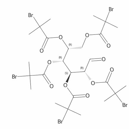 CC(C)(Br)C(=O)OC[C@@H](OC(=O)C(C)(C)Br)[C@@H](OC(=O)C(C)(C)Br)[C@H](OC(=O)C(C)(C)Br)[C@H](C=O)OC(=O)C(C)(C)Br